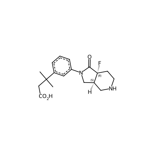 CC(C)(CC(=O)O)c1cccc(N2C[C@@H]3CNCC[C@]3(F)C2=O)c1